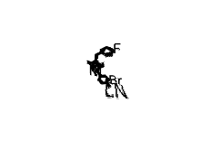 Cc1nn(-c2ccc(C#N)c(Br)c2)c(C)c1Cc1ccc(F)cc1